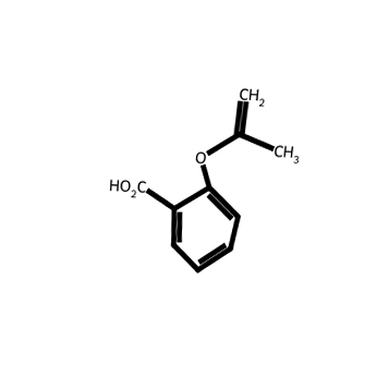 C=C(C)Oc1ccccc1C(=O)O